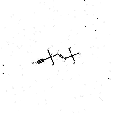 CC(C)(C)N=NC(C)(C)C#N